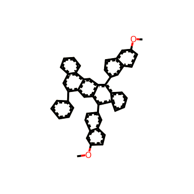 COc1ccc2cc(-c3c4ccccc4c(-c4ccc5cc(OC)ccc5c4)c4cc5c(cc34)c(-c3ccccc3)cc3ccccc35)ccc2c1